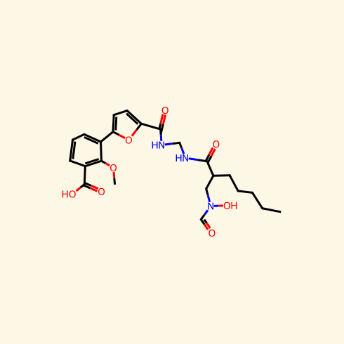 CCCCCC(CN(O)C=O)C(=O)NCNC(=O)c1ccc(-c2cccc(C(=O)O)c2OC)o1